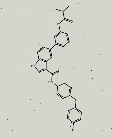 CN(C)C(=O)Nc1cncc(-c2ccc3[nH]nc(C(=O)NC4C=CC(Oc5ccc(F)cc5)=NC4)c3c2)c1